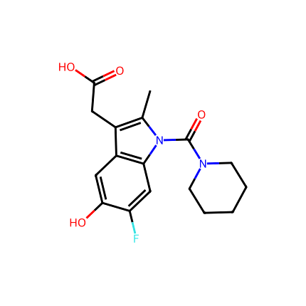 Cc1c(CC(=O)O)c2cc(O)c(F)cc2n1C(=O)N1CCCCC1